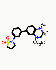 CCOC(=O)N1C[C@H](C)N(C(C)=O)c2ccc(-c3cccc(N4CCCS4(=O)=O)c3)cc21